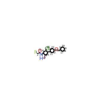 O=C(CF)Nc1cc(Cl)c(-c2ccc(OCc3ccccc3)cc2F)cc1I